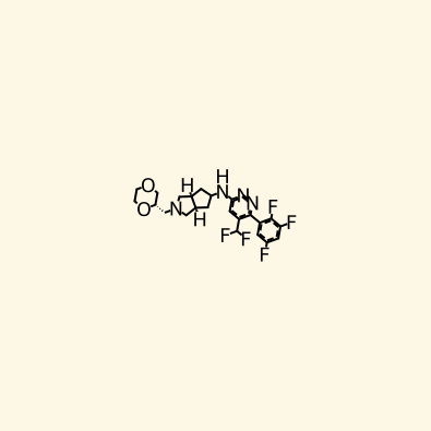 Fc1cc(F)c(F)c(-c2nnc(NC3C[C@@H]4CN(C[C@H]5COCCO5)C[C@@H]4C3)cc2C(F)F)c1